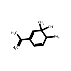 C=C(C)C1=CC(C)(O)C(P)C=C1